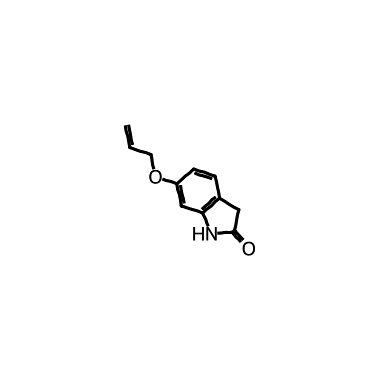 C=CCOc1ccc2c(c1)NC(=O)C2